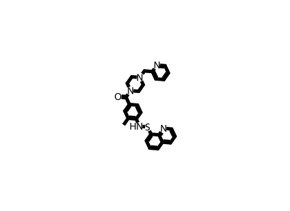 Cc1cc(C(=O)N2CCN(Cc3ccccn3)CC2)ccc1NSc1cccc2cccnc12